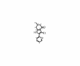 CCc1c(-c2ccccn2)[nH]c2c1C(=O)CC(C)C2